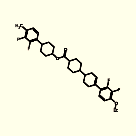 CCOc1ccc(C2=CCC(C3CCC(C(=O)OC4CCC(c5ccc(C)c(F)c5F)CC4)CC3)CC2)c(F)c1F